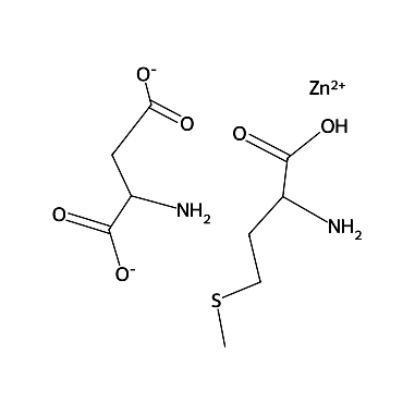 CSCCC(N)C(=O)O.NC(CC(=O)[O-])C(=O)[O-].[Zn+2]